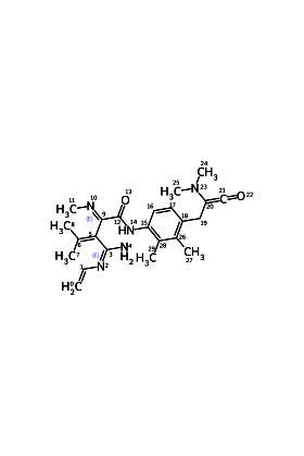 C=C/N=C(/N)C(=C(C)C)/C(=N\C)C(=O)Nc1ccc(CC(=C=O)N(C)C)c(C)c1C